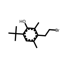 Cc1cc(C(C)(C)C)c(O)c(C)c1CCBr